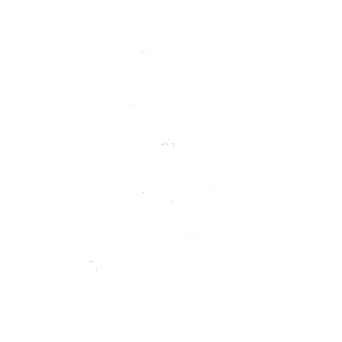 CCCC(C[SiH2]C1CCCCO1)c1ccccc1